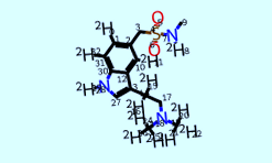 [2H]c1c(CS(=O)(=O)N([2H])C)c([2H])c2c(C([2H])([2H])CN(C([2H])([2H])[2H])C([2H])([2H])[2H])cn([2H])c2c1[2H]